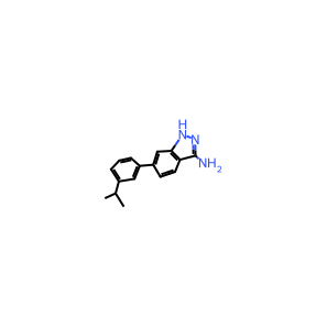 CC(C)c1cccc(-c2ccc3c(N)n[nH]c3c2)c1